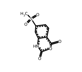 CS(=O)(=O)c1ccc2c(=O)oc(=O)[nH]c2c1